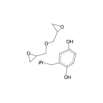 C(OCC1CO1)C1CO1.CC(C)Cc1cc(O)ccc1O